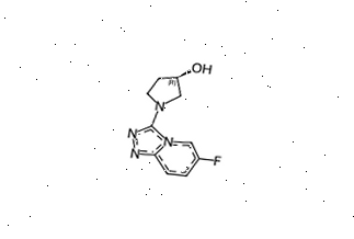 O[C@@H]1CCN(c2nnc3ccc(F)cn23)C1